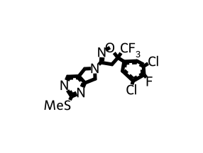 CSc1ncc2c(n1)CN(C1=NOC(c3cc(Cl)c(F)c(Cl)c3)(C(F)(F)F)C1)C2